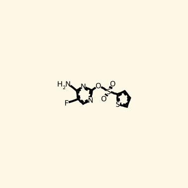 Nc1nc(OS(=O)(=O)c2cccs2)ncc1F